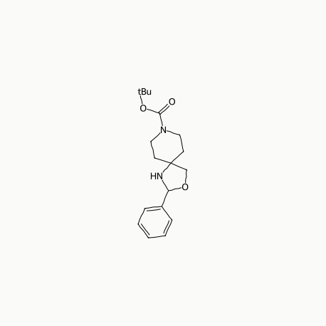 CC(C)(C)OC(=O)N1CCC2(CC1)COC(c1ccccc1)N2